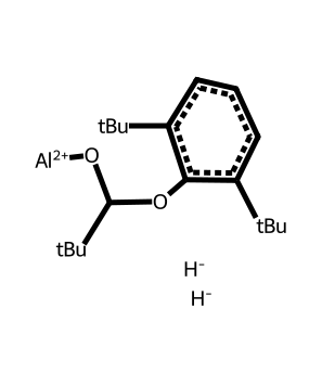 CC(C)(C)c1cccc(C(C)(C)C)c1OC([O][Al+2])C(C)(C)C.[H-].[H-]